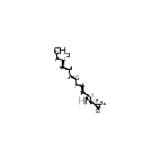 CCCCCCCCCCCNC1CC1